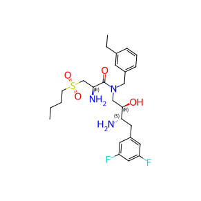 CCCCS(=O)(=O)C[C@H](N)C(=O)N(Cc1cccc(CC)c1)C[C@@H](O)[C@@H](N)Cc1cc(F)cc(F)c1